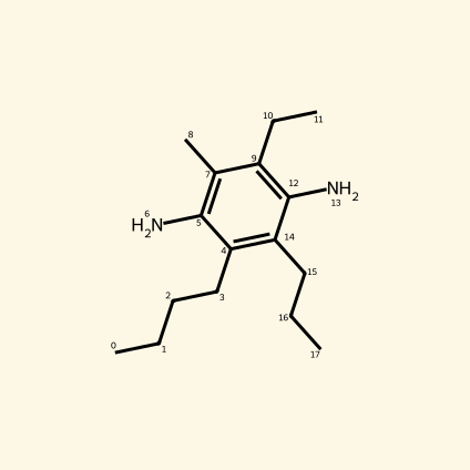 CCCCc1c(N)c(C)c(CC)c(N)c1CCC